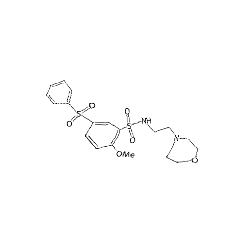 COc1ccc(S(=O)(=O)c2ccccc2)cc1S(=O)(=O)NCCN1CCOCC1